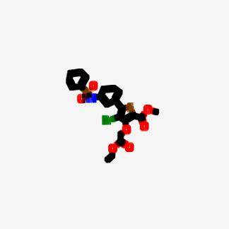 CCOC(=O)COc1c(C(=O)OC)sc(-c2cccc(NS(=O)(=O)c3ccccc3)c2)c1Br